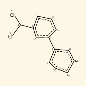 ClC(Cl)c1cccc(-c2ccccc2)c1